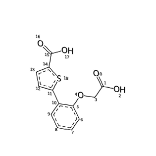 O=C(O)COc1ccccc1-c1ccc(C(=O)O)s1